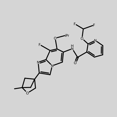 CC(C)Oc1c(NC(=O)c2cccnc2OC(F)F)cn2cc(C34COC(C)(C3)C4)nc2c1F